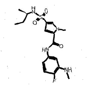 CC[C@@H](C)NS(=O)(=O)c1cc(C(=O)Nc2ccc(F)c(NC)c2)n(C)c1